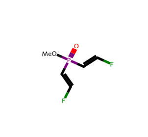 COP(=O)(C=CF)C=CF